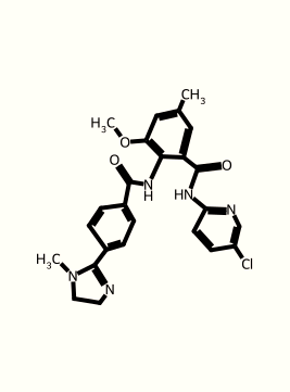 COc1cc(C)cc(C(=O)Nc2ccc(Cl)cn2)c1NC(=O)c1ccc(C2=NCCN2C)cc1